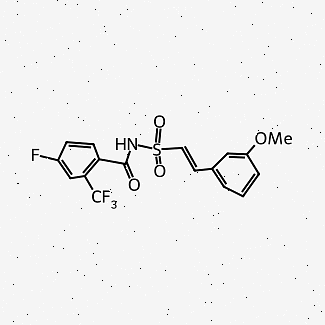 COc1cccc(C=CS(=O)(=O)NC(=O)c2ccc(F)cc2C(F)(F)F)c1